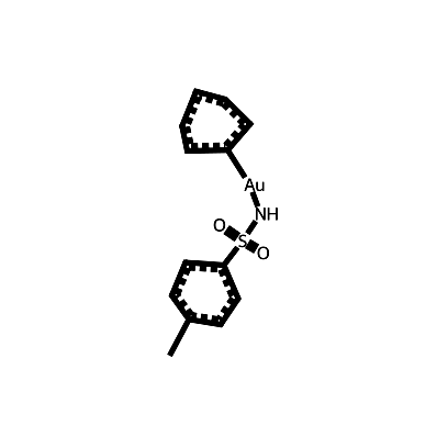 Cc1ccc(S(=O)(=O)[NH][Au][c]2ccccc2)cc1